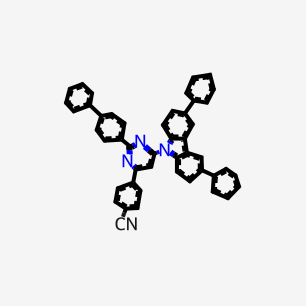 N#Cc1ccc(-c2cc(-n3c4ccc(-c5ccccc5)cc4c4cc(-c5ccccc5)ccc43)nc(-c3ccc(-c4ccccc4)cc3)n2)cc1